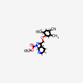 Cc1cc(OCc2nn(C(=O)OC(C)(C)C)c3ncccc23)c(C(C)(C)C)cc1C#N